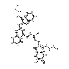 CCCCN1C(=CC=C(C)C=CC2=CC(=Cc3sc4ccccc4[n+]3CCCC)Oc3ccccc32)Sc2cc(C)c(C)cc21